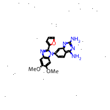 COc1cc2nc(-c3ccco3)n(-c3ccc4c(N)nc(N)nc4c3)c2cc1OC